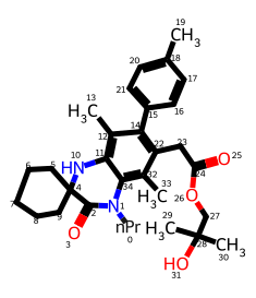 CCCN1C(=O)C2(CCCCC2)Nc2c(C)c(-c3ccc(C)cc3)c(CC(=O)OCC(C)(C)O)c(C)c21